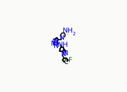 C[C@@H]1CN(Cc2ccn3ncnc(Nc4ccc5c(cnn5Cc5cccc(F)c5)c4)c23)CC[C@H]1N